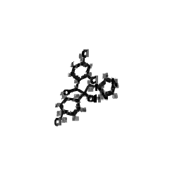 O=C(c1ccc(Cl)cc1Cl)C(O)(Cn1cncn1)c1ccc(Cl)cc1